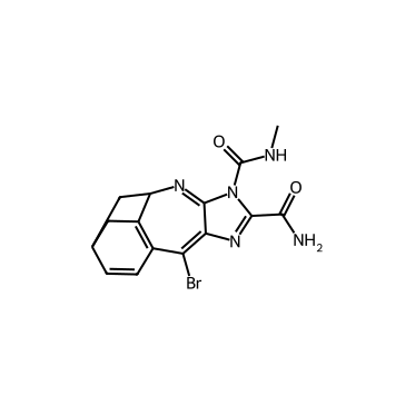 CNC(=O)n1c(C(N)=O)nc2c1=NC1CC3C=CC(=C1C3)C=2Br